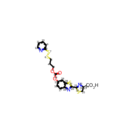 O=C(OCCCSSc1ccccn1)Oc1ccc2nc(C3=N[C@@H](C(=O)O)CS3)sc2c1